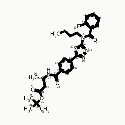 CCCCN(C(=O)c1ccccc1F)c1nnc(-c2ccc(C(=O)N[C@@H](C)CC(=O)OC(C)(C)C)cc2)s1